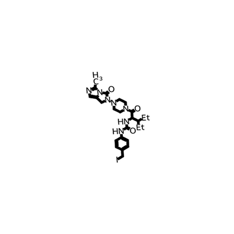 CCC(CC)C(NC(=O)Nc1ccc(CI)cc1)C(=O)N1CCN(N2Cc3cnc(C)n3C2=O)CC1